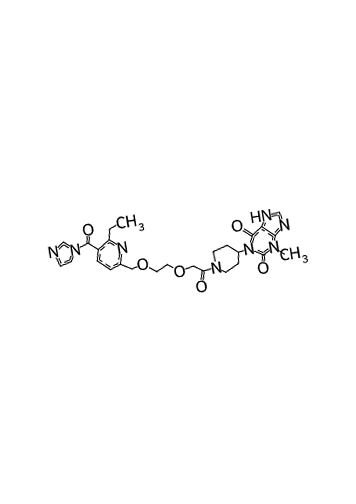 CCc1nc(COCCOCC(=O)N2CCC(n3c(=O)c4[nH]cnc4n(C)c3=O)CC2)ccc1C(=O)n1ccnc1